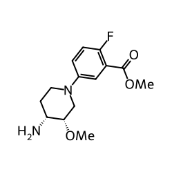 COC(=O)c1cc(N2CC[C@@H](N)[C@@H](OC)C2)ccc1F